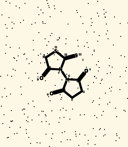 O=C1CCC(=O)N1N1C(=O)CSC1=S